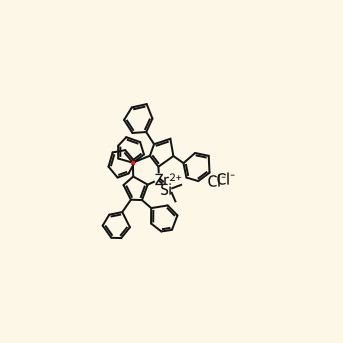 C[Si](C)=[Zr+2]([C]1=C(c2ccccc2)C(c2ccccc2)=CC1c1ccccc1)[C]1=C(c2ccccc2)C(c2ccccc2)=CC1c1ccccc1.[Cl-].[Cl-]